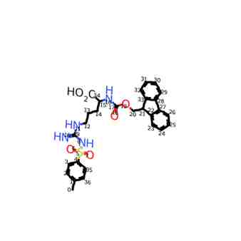 Cc1ccc(S(=O)(=O)NC(=N)NCCCC(NC(=O)OCC2c3ccccc3-c3ccccc32)C(=O)O)cc1